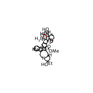 CC[C@]1(O)CC[C@H]2CN(CCc3c([nH]c4ccccc34)[C@@](C(=O)OC)(c3cc4c(cc3OC)N(C)[C@@H](CC(N)=O)[C@]43CCN4CC=C[C@@](CC)([C@@H](O)CO)[C@H]43)C2)C1